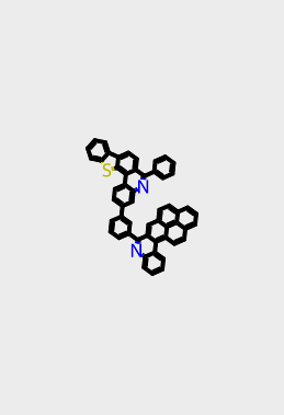 c1ccc(-c2nc3cc(-c4cccc(-c5nc6ccccc6c6c5cc5ccc7cccc8ccc6c5c78)c4)ccc3c3c2ccc2c4ccccc4sc23)cc1